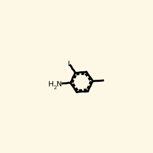 Cc1ccc(N)c(I)c1